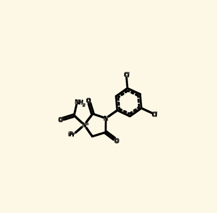 CC(C)[N+]1(C(N)=O)CC(=O)N(c2cc(Cl)cc(Cl)c2)C1=O